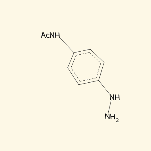 CC(=O)Nc1ccc(NN)cc1